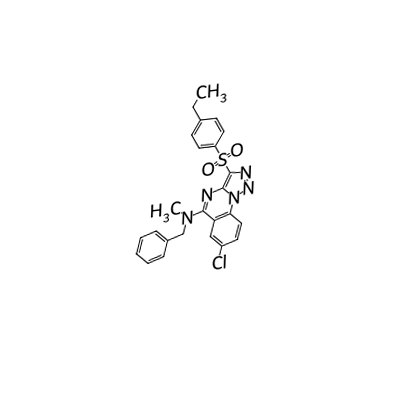 CCc1ccc(S(=O)(=O)c2nnn3c2nc(N(C)Cc2ccccc2)c2cc(Cl)ccc23)cc1